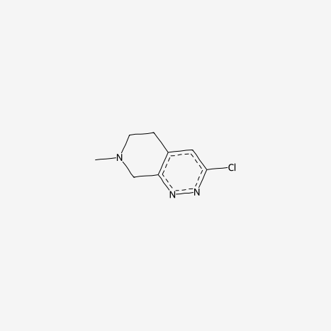 CN1CCc2cc(Cl)nnc2C1